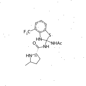 CC(=O)NC1(NC(=O)[C@@H]2CCC(C)N2)Nc2c(cccc2C(F)(F)F)S1